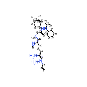 C=CCN(N)/C=C(\N)CCC/C(=C/N(C)CC(=C)NC1CC[C@H](C)[C@H](C)[C@@H]1CC(C)CC1CCCCC1)N=C